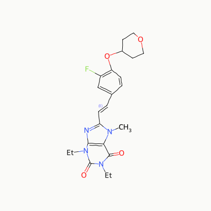 CCn1c(=O)c2c(nc(/C=C/c3ccc(OC4CCOCC4)c(F)c3)n2C)n(CC)c1=O